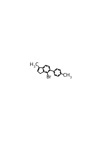 CC1=CCc2c1ccc(-c1ccc(C)cc1)c2Br